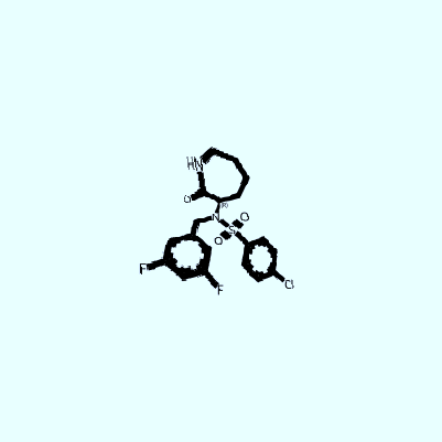 O=C1NCCCC[C@H]1N(Cc1cc(F)cc(F)c1)S(=O)(=O)c1ccc(Cl)cc1